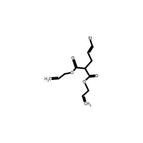 C=CCOC(=O)C(C/C=C/CC)C(=O)OCC=C